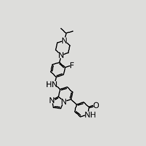 CC(C)N1CCN(c2ccc(Nc3ccc(-c4cc[nH]c(=O)c4)n4ccnc34)cc2F)CC1